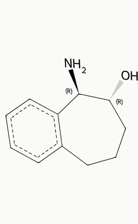 N[C@@H]1c2ccccc2CCC[C@H]1O